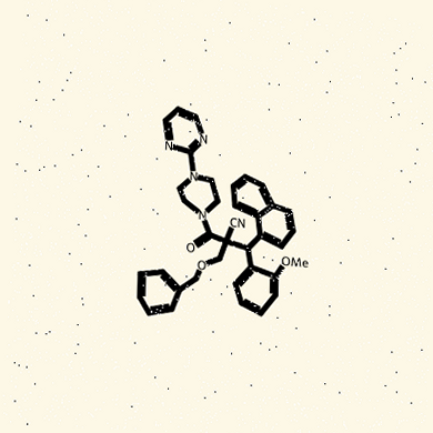 COc1ccccc1C(c1cccc2ccccc12)C(C#N)(COCc1ccccc1)C(=O)N1CCN(c2ncccn2)CC1